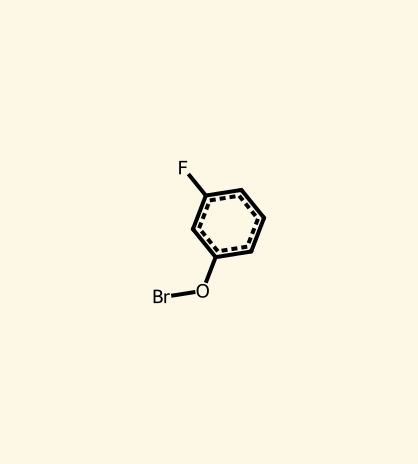 Fc1cccc(OBr)c1